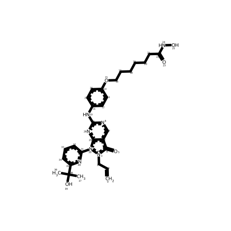 C=CCn1c(=O)c2cnc(Nc3ccc(OCCCCCCC(=O)NO)cc3)nc2n1-c1cccc(C(C)(C)O)n1